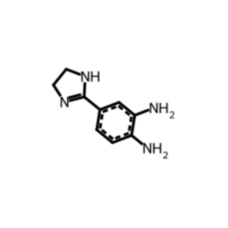 Nc1ccc(C2=NCCN2)cc1N